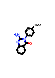 COc1ccc(-n2c(N)nc3ccccc3c2=O)cc1